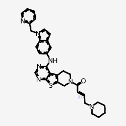 O=C(/C=C/CN1CCCCC1)N1CCc2c(sc3ncnc(Nc4ccc5c(ccn5Cc5ccccn5)c4)c23)C1